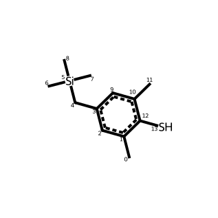 Cc1cc(C[Si](C)(C)C)cc(C)c1S